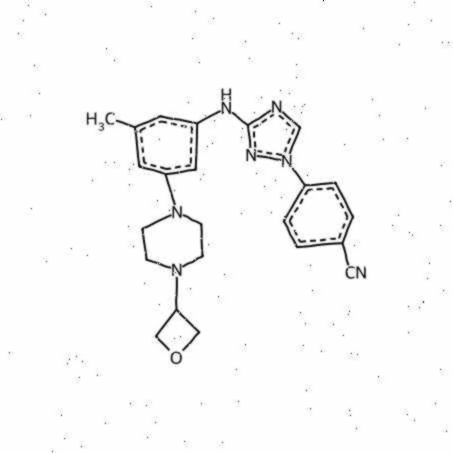 Cc1cc(Nc2ncn(-c3ccc(C#N)cc3)n2)cc(N2CCN(C3COC3)CC2)c1